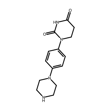 O=C1CCN(c2ccc(N3CCNCC3)cc2)C(=O)N1